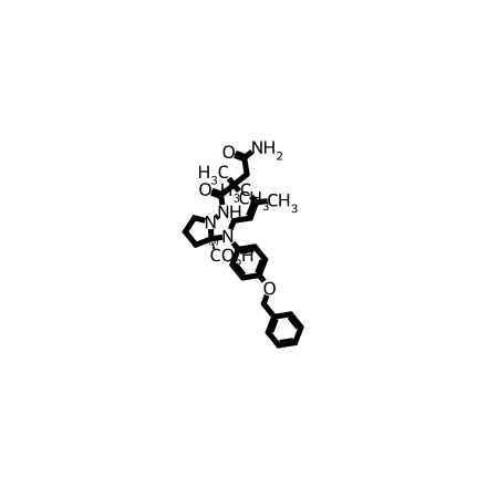 CC(C)=CCN(c1ccc(OCc2ccccc2)cc1)[C@@]1(C(=O)O)CCCN1NC(=O)C(C)(C)CC(N)=O